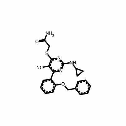 N#Cc1c(SCC(N)=O)nc(NC2CC2)nc1-c1ccccc1OCc1ccccc1